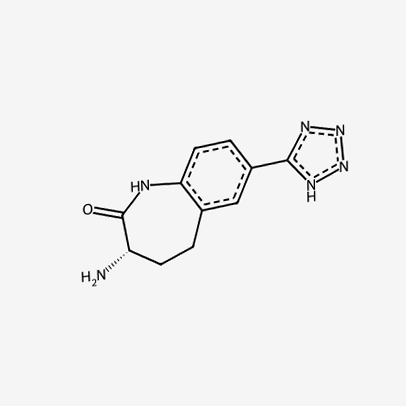 N[C@H]1CCc2cc(-c3nnn[nH]3)ccc2NC1=O